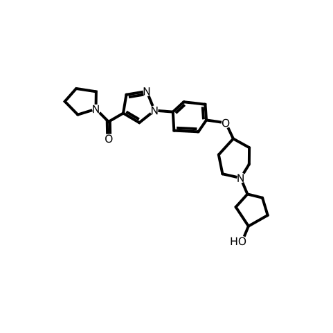 O=C(c1cnn(-c2ccc(OC3CCN(C4CCC(O)C4)CC3)cc2)c1)N1CCCC1